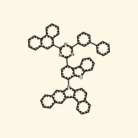 c1ccc(-c2cccc(-c3nc(-c4cc5ccccc5c5ccccc45)nc(-c4ccc(-n5c6cc7ccccc7cc6c6c7ccccc7ccc65)c5oc6ccccc6c45)n3)c2)cc1